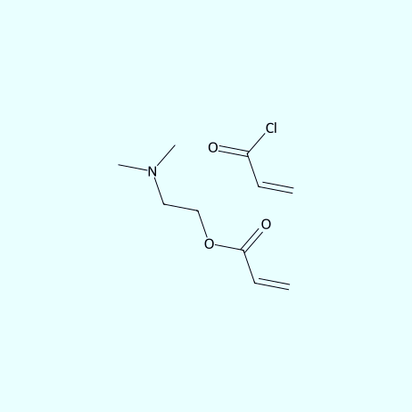 C=CC(=O)Cl.C=CC(=O)OCCN(C)C